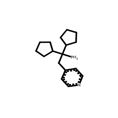 PC(Cc1ccncc1)(C1CCCC1)C1CCCC1